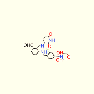 CN(Cc1c(C=O)cccc1NCc1ccc(C(O)(O)N2CCOCC2)cc1F)C1CCC(=O)NC1=O